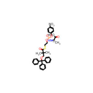 COC(=O)[C@H](C)NP(=O)(OCCSC(=O)C(C)(C)COC(c1ccccc1)(c1ccccc1)c1ccccc1)Oc1ccc([N+](=O)[O-])cc1